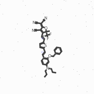 CCCN(CCC)c1ccc(/C=C/c2ccc(/C=C/C3=C(C#N)C(=C(C#N)C#N)OC3(C)C(F)(F)F)s2)c(OCc2ccccc2)c1